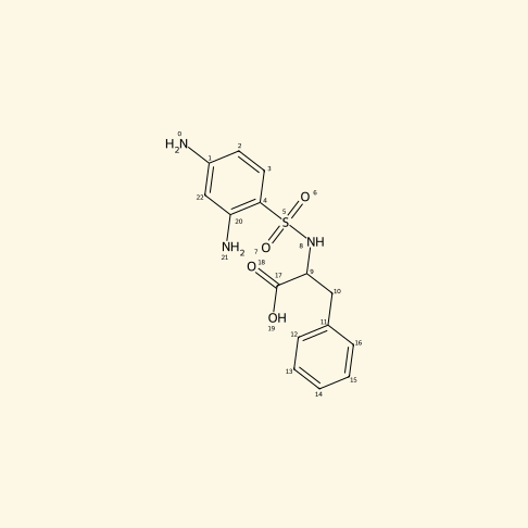 Nc1ccc(S(=O)(=O)NC(Cc2ccccc2)C(=O)O)c(N)c1